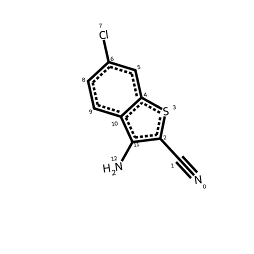 N#Cc1sc2cc(Cl)ccc2c1N